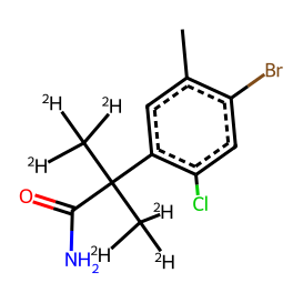 [2H]C([2H])([2H])C(C(N)=O)(c1cc(C)c(Br)cc1Cl)C([2H])([2H])[2H]